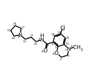 CN1CCOc2c(C(=O)NCCCN3C[CH]CC3)cc(Cl)cc21